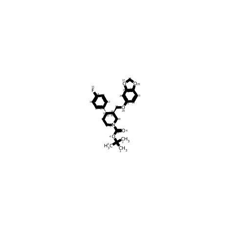 CC(C)(C)OC(=O)N1CC[C@H](c2ccc(F)cc2)[C@@H](COc2ccc3c(c2)OCO3)C1